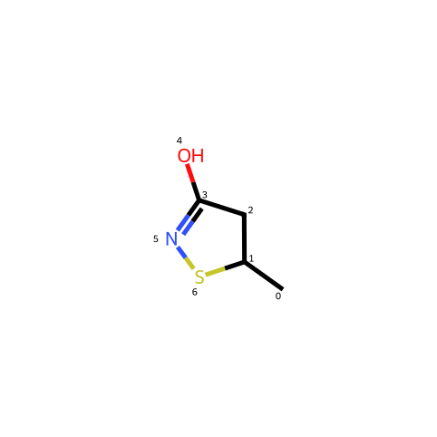 CC1CC(O)=NS1